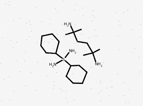 CC(C)(N)CCC(C)(C)N.NS(N)(C1CCCCC1)C1CCCCC1